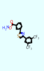 NOC(=O)c1cccc(-c2nc(-c3cc(C(F)(F)F)cc(C(F)(F)F)c3)cs2)c1